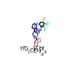 CC(C)(COCC(=O)N1CCc2c(n(Cc3c(F)cc(F)c(F)c3F)c3ncccc23)C1)C(=O)O